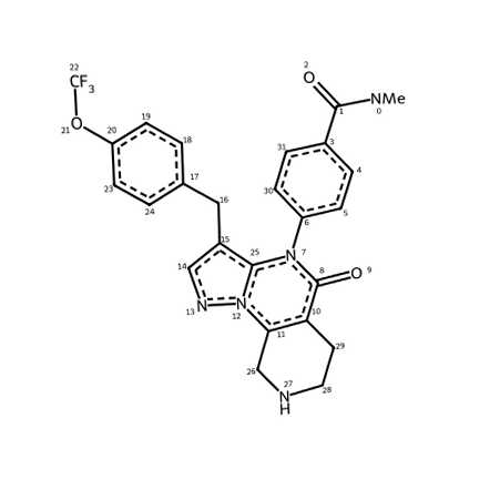 CNC(=O)c1ccc(-n2c(=O)c3c(n4ncc(Cc5ccc(OC(F)(F)F)cc5)c24)CNCC3)cc1